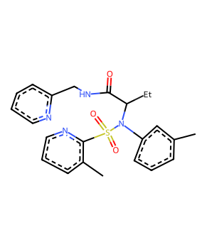 CCC(C(=O)NCc1ccccn1)N(c1cccc(C)c1)S(=O)(=O)c1ncccc1C